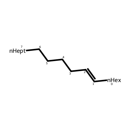 [CH2]CCCCCC=CCCCCCCCCCC[CH2]